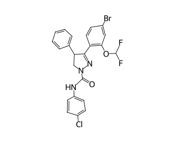 O=C(Nc1ccc(Cl)cc1)N1CC(c2ccccc2)C(c2ccc(Br)cc2OC(F)F)=N1